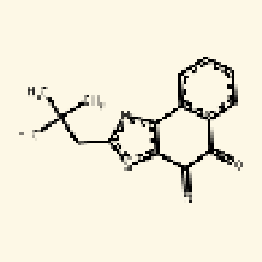 CC(C)(C)Cc1nc2c(s1)C(=O)C(=O)c1ccccc1-2